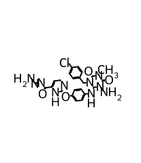 CN1C(=O)N(N)C(Nc2ccc(OC3N=CC=C(C(=O)N=NN)N3)cc2)N(Cc2ccc(Cl)cc2)C1=O